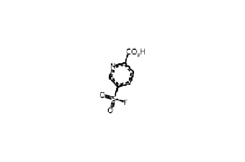 O=C(O)c1ccc(S(=O)(=O)F)cn1